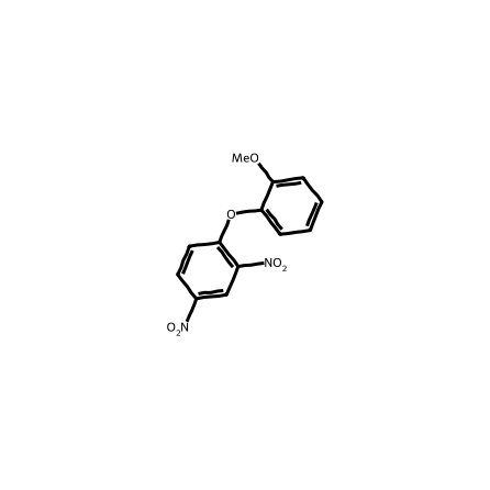 COc1ccccc1Oc1ccc([N+](=O)[O-])cc1[N+](=O)[O-]